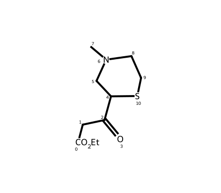 CCOC(=O)CC(=O)C1CN(C)CCS1